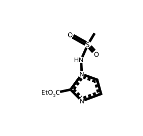 CCOC(=O)c1nccn1NS(C)(=O)=O